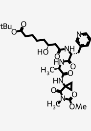 COC(=O)N(C)C(=O)C1(NC(=O)[C@@H](C)NC(=O)[C@@H](Cc2cccnc2)NC(=O)C[C@H](O)CCCCC(=O)OC(C)(C)C)CC1